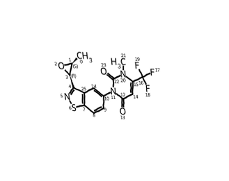 C[C@@H]1O[C@@H]1c1nsc2ccc(-n3c(=O)cc(C(F)(F)F)n(C)c3=O)cc12